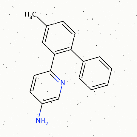 Cc1ccc(-c2ccccc2)c(-c2ccc(N)cn2)c1